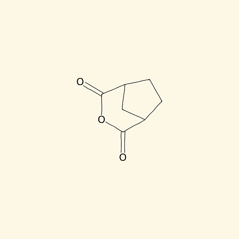 O=C1OC(=O)C2CCC1C2